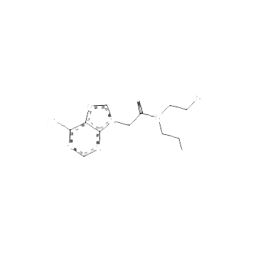 NCCN(CCC(=O)O)C(=O)Cn1cnc2c(N)ncnc21